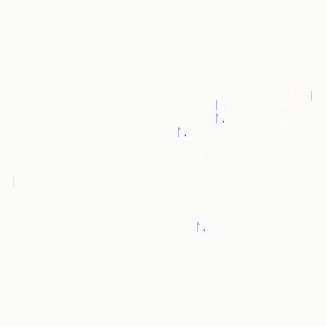 CC(C)C(CC(=O)O)Nc1nc(-c2ccc(-c3ccc(F)cc3)cc2)c(-c2cccnc2)s1